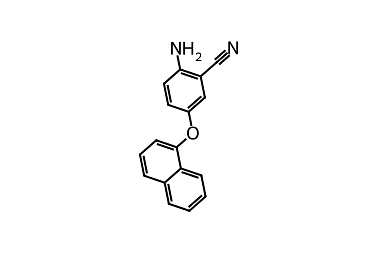 N#Cc1cc(Oc2cccc3ccccc23)ccc1N